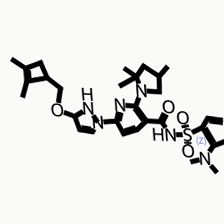 C=C/C(=C(\C)N(C)C)S(=O)(=O)NC(=O)c1ccc(N2C=CC(OCC3CC(C)=C3C)N2)nc1N1CC(C)CC1(C)C